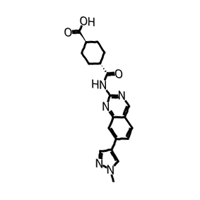 Cn1cc(-c2ccc3cnc(NC(=O)[C@H]4CC[C@H](C(=O)O)CC4)nc3c2)cn1